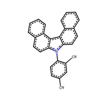 N#Cc1ccc(-n2c3ccc4ccccc4c3c3c4ccccc4ccc32)c(C#N)c1